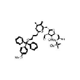 C=C1C(C[C@@H]2O[C@H](C[C@@H](CC)O[Si](C)(C)C(C)(C)C)[C@H](OC)[C@H]2CBr)O[C@@H](CCCOC(c2ccccc2)(c2ccccc2)c2ccc(OC)cc2)C[C@H]1C